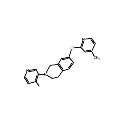 Cc1ccncc1N1CCc2ccc(Oc3cc(C(F)(F)F)ccn3)cc2C1